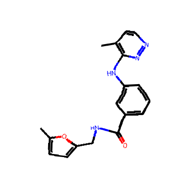 Cc1ccc(CNC(=O)c2cccc(Nc3nnccc3C)c2)o1